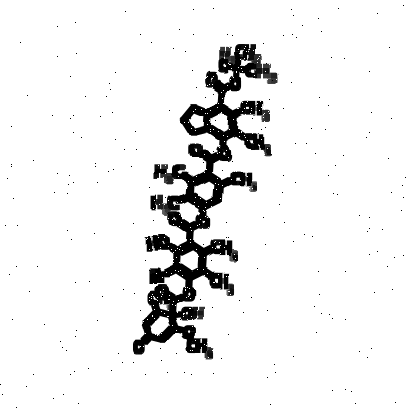 COC1=CC(=O)C=C(C)C1(O)C(=O)Oc1c(C)c(C)c(C(=O)Oc2cc(C)c(C(=O)Oc3c(C)c(C)c(C(=O)OC(C)(C)C)c4c3CCC4)c(C)c2C)c(O)c1Br